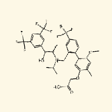 COc1cc(C)c(OCC(=O)O)cc1-c1ccc(C(F)(F)F)cc1CN(C(C)C)C(C)C(O)c1cc(C(F)(F)F)cc(C(F)(F)F)c1